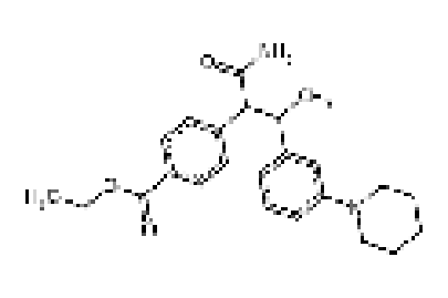 CCOC(=O)c1ccc(C(C(N)=O)C(C)c2cccc(N3CCCCC3)c2)cc1